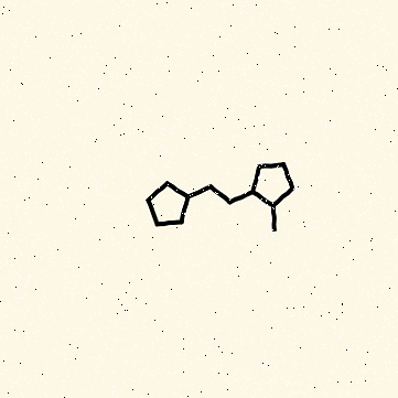 CC1CCC[C]1CCC1CCCC1